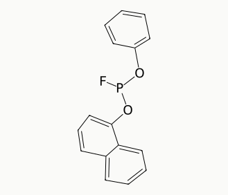 FP(Oc1ccccc1)Oc1cccc2ccccc12